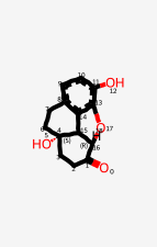 O=C1CC[C@@]2(O)CCc3ccc(O)c4c3C2[C@H]1O4